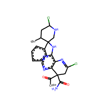 COC(=O)C1(C(N)=O)CC(Cl)=Nc2c(NC3(c4ccccc4)CNC(Cl)CC3C(C)(C)C)ncnc21